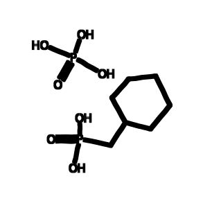 O=P(O)(O)CC1CCCCC1.O=P(O)(O)O